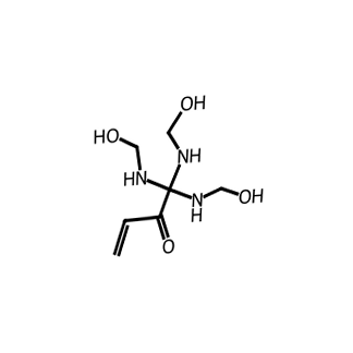 C=CC(=O)C(NCO)(NCO)NCO